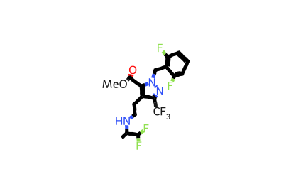 COC(=O)c1c(CCNC(C)C(F)F)c(C(F)(F)F)nn1Cc1c(F)cccc1F